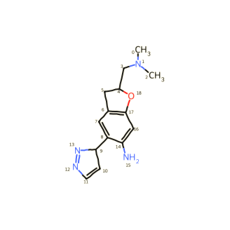 CN(C)CC1Cc2cc(C3C=CN=N3)c(N)cc2O1